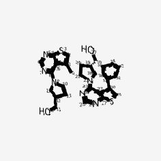 Cc1csc2ncnc(N3CCC(CO)C3)c12.OC[C@H]1CCN(c2ncnc3scc(-c4ccccc4)c23)C1